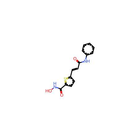 O=C(/C=C/c1ccc(C(=O)NO)s1)Nc1ccccc1